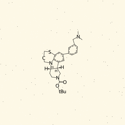 CN(C)Cc1cccc(-c2cc3c4c(c2)[C@@H]2CN(C(=O)OC(C)(C)C)CC[C@@H]2N4CCCS3)c1